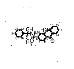 CC(C)(NC(=O)c1ccc2c(=O)c3ccccc3[nH]c2c1)c1ccccc1